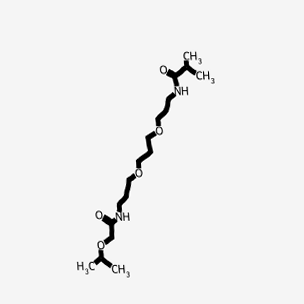 CC(C)OCC(=O)NCCCOCCCOCCCNC(=O)C(C)C